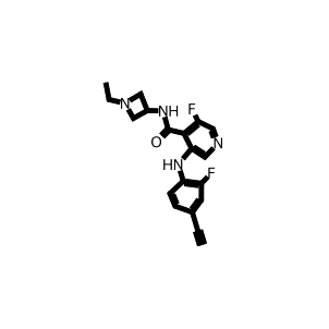 C#Cc1ccc(Nc2cncc(F)c2C(=O)NC2CN(CC)C2)c(F)c1